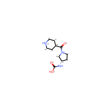 O=C(O)N[C@H]1CCN(C(=O)C2CCNCC2)C1